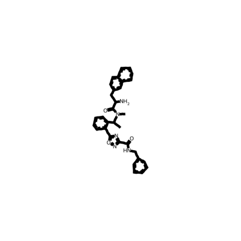 CC(c1ccccc1-c1nc(C(=O)NCc2ccccc2)no1)N(C)C(=O)C(N)Cc1ccc2ccccc2c1